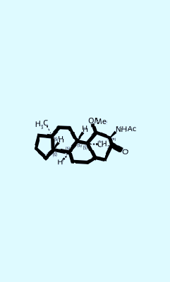 COC1[C@@H](NC(C)=O)C(=O)CC2CC[C@H]3[C@@H]4CCC[C@@]4(C)CC[C@@H]3[C@]21C